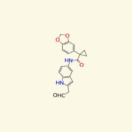 O=CCc1cc2cc(NC(=O)C3(c4ccc5c(c4)OCO5)CC3)ccc2[nH]1